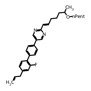 C=CCc1ccc(-c2ccc(-c3cnc(C=CCCCC(C)OCCCCC)nc3)cc2)c(F)c1